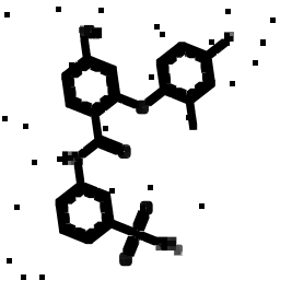 Cc1cc(F)ccc1Oc1cc(C(C)(C)C)ccc1C(=O)Nc1cccc(S(N)(=O)=O)c1